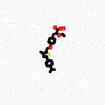 CCO[C@@H](Cc1ccc(OCc2sc(-c3ccc(C(C)C)cc3)cc2C)cc1)C(=O)O